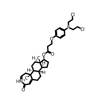 C[C@]12CC[C@H]3[C@@H](CCC4=CC(=O)NCC[C@@]43C)[C@@H]1CC[C@@H]2OC(=O)CCOc1ccc(N(CCCl)CCCl)cc1